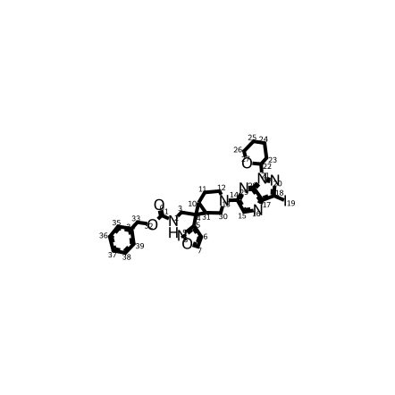 O=C(NCC1(c2ccon2)C2CCN(c3cnc4c(I)nn(C5CCCCO5)c4n3)CC21)OCc1ccccc1